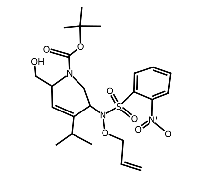 C=CCON(C1CN(C(=O)OC(C)(C)C)C(CO)C=C1C(C)C)S(=O)(=O)c1ccccc1[N+](=O)[O-]